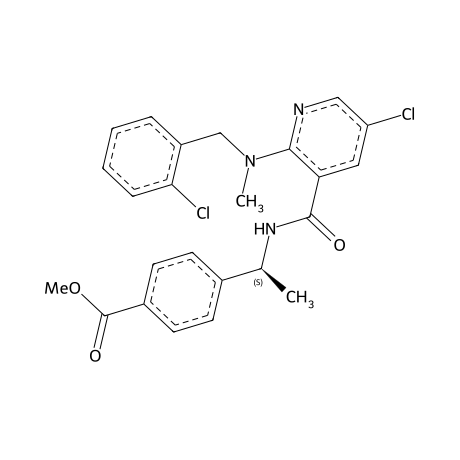 COC(=O)c1ccc([C@H](C)NC(=O)c2cc(Cl)cnc2N(C)Cc2ccccc2Cl)cc1